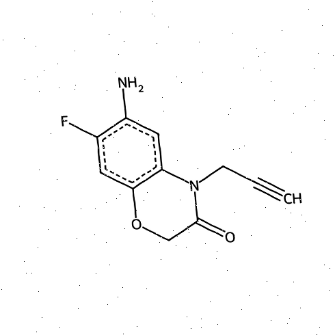 C#CCN1C(=O)COc2cc(F)c(N)cc21